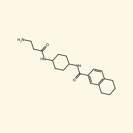 NCCC(=O)NC1CCC(NC(=O)c2ccc3c(c2)CCCC3)CC1